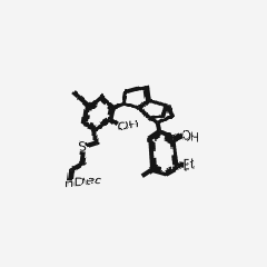 CCCCCCCCCCCCSCc1cc(C)cc(C2CCC3C4CC(c5cc(C)cc(CC)c5O)C(C4)C23)c1O